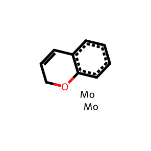 C1=Cc2ccccc2OC1.[Mo].[Mo]